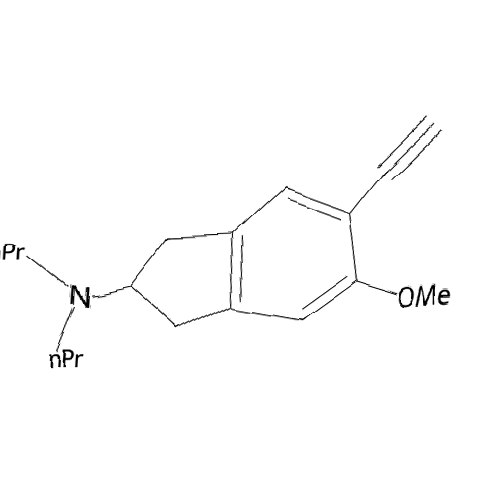 C#Cc1cc2c(cc1OC)CC(N(CCC)CCC)C2